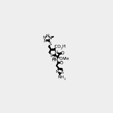 CO[C@@]1(NC(=O)Cc2csc(N)n2)C(=O)N2C(C(=O)O)=C(CSc3nnnn3C)CS[C@@H]21